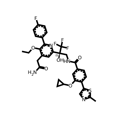 CCOc1c(CC(N)=O)cc([C@@](O)(CNC(=O)c2ccc(-c3cnc(C)s3)c(OC3CC3)c2)C(F)(F)F)nc1-c1ccc(F)cc1